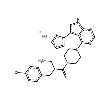 Cl.Cl.NCC(Cc1ccc(Cl)cc1)C(=O)N1CCN(c2ncnc3[nH]cc(-c4cccs4)c23)CC1